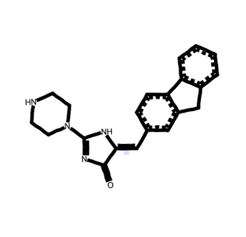 O=C1N=C(N2CCNCC2)N/C1=C\c1ccc2c(c1)Cc1ccccc1-2